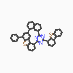 c1ccc(-c2cc(-c3ccccc3)c3sc4cccc(-c5nc(-c6ccccc6)nc(-c6cccc7c6sc6ccccc67)n5)c4c3c2)cc1